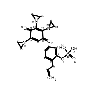 C=CCc1ccccc1OP(=O)(O)O.O=C1C=C(N2CC2)C(=O)C(N2CC2)=C1N1CC1